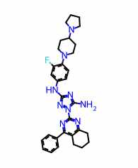 Nc1nc(Nc2ccc(N3CCC(N4CCCC4)CC3)c(F)c2)nn1-c1nc2c(c(-c3ccccc3)n1)CCCC2